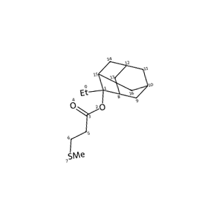 CCC1(OC(=O)CCSC)C2CC3CC(C2)CC1C3